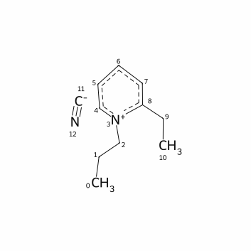 CCC[n+]1ccccc1CC.[C-]#N